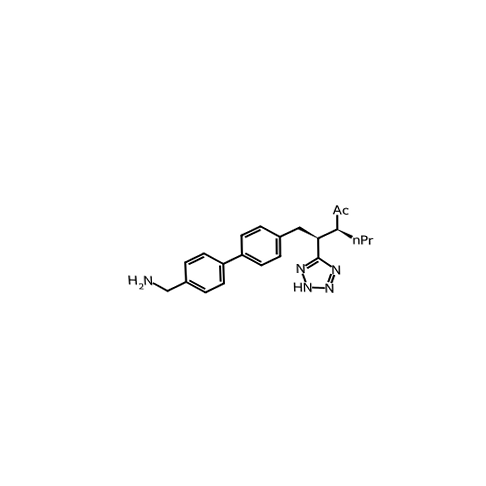 CCC[C@H](C(C)=O)[C@H](Cc1ccc(-c2ccc(CN)cc2)cc1)c1nn[nH]n1